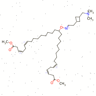 COC(=O)C/C=C\C/C=C\CCCCCCCCC(CCCCCCCC/C=C\C/C=C\CC(=O)OC)O/N=C/CC1CC(CN(C)C)C1